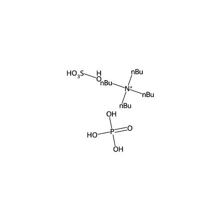 CCCC[N+](CCCC)(CCCC)CCCC.O=P(O)(O)O.O=S(=O)(O)O